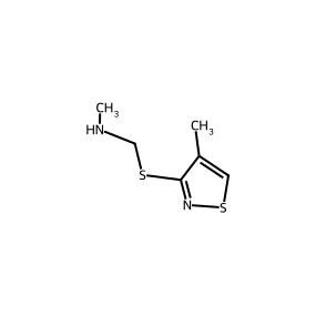 CNCSc1nscc1C